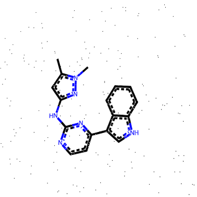 Cc1cc(Nc2nccc(-c3c[nH]c4ccccc34)n2)nn1C